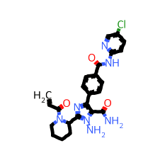 C=CC(=O)N1CCCCC1c1nc(-c2ccc(C(=O)Nc3ccc(Cl)cn3)cc2)c(C(N)=O)n1N